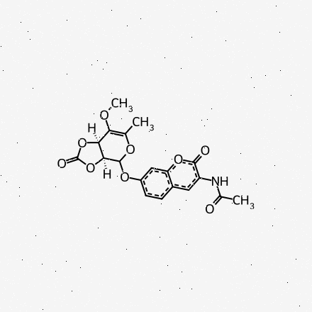 COC1=C(C)OC(Oc2ccc3cc(NC(C)=O)c(=O)oc3c2)[C@H]2OC(=O)O[C@@H]12